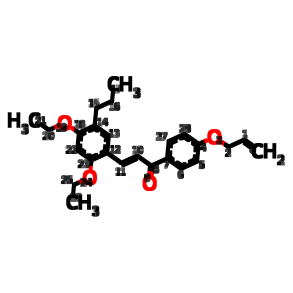 C=CCOc1ccc(C(=O)C=Cc2cc(CCC)c(OCC)cc2OCC)cc1